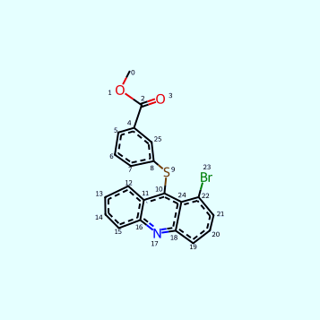 COC(=O)c1cccc(Sc2c3ccccc3nc3cccc(Br)c23)c1